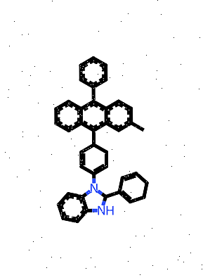 Cc1ccc2c(-c3ccccc3)c3ccccc3c(C3C=CC(N4c5ccccc5NC4C4=CCCC=C4)=CC3)c2c1